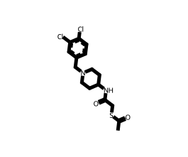 CC(=O)SCC(=O)NC1CCN(Cc2ccc(Cl)c(Cl)c2)CC1